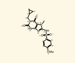 COc1ccc(S(=O)(=O)Nc2nc3[nH]c(=O)n(CC4CC4)c(=O)c3n2C)cc1